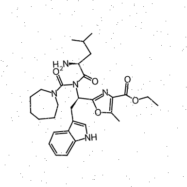 CCOC(=O)c1nc([C@@H](Cc2c[nH]c3ccccc23)N(C(=O)[C@@H](N)CC(C)C)C(=O)N2CCCCCC2)oc1C